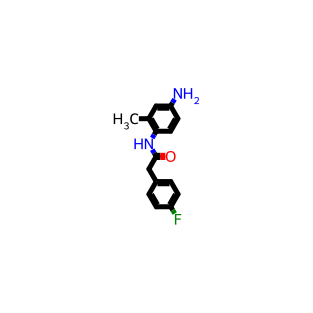 Cc1cc(N)ccc1NC(=O)Cc1ccc(F)cc1